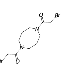 O=C(CBr)N1CCCN(C(=O)CBr)CCC1